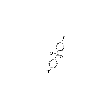 O=S(=O)(c1ccc(F)cc1)c1ccc(Cl)cc1